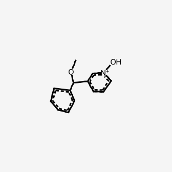 COC(c1ccccc1)c1ccc[n+](O)c1